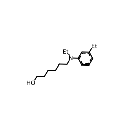 CCc1cccc(N(CC)CCCCCCO)c1